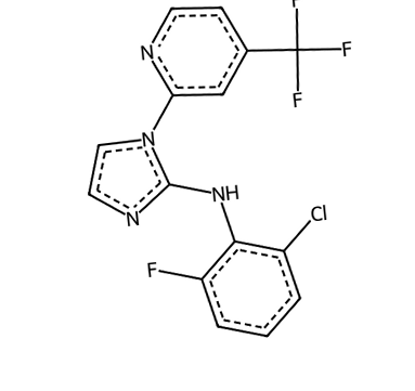 Fc1cccc(Cl)c1Nc1nccn1-c1cc(C(F)(F)F)ccn1